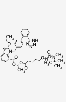 CCOc1nc2cccc(C(=O)OC(C)OC(=O)CCCCO/N=[N+](\[O-])N(C)C(C)(C)C)c2n1Cc1ccc(-c2ccccc2-c2nnn[nH]2)cc1